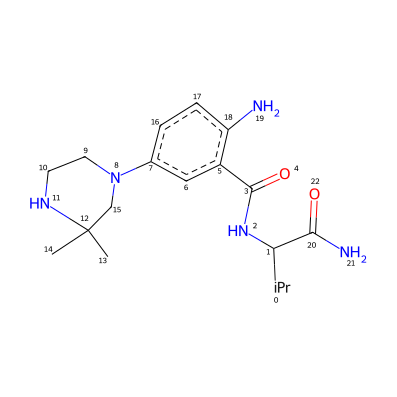 CC(C)C(NC(=O)c1cc(N2CCNC(C)(C)C2)ccc1N)C(N)=O